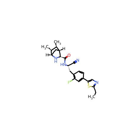 CCc1ncc(-c2ccc(C[C@@H](C#N)NC(=O)[C@H]3N[C@H]4C[C@@H]3[C@H](C)[C@@H]4C)c(F)c2)s1